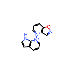 c1cc2oncc2[n+](-[n+]2cccc3cc[nH]c32)c1